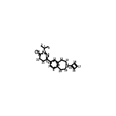 CC(C)N1N=C(c2ccc3c(c2)CCN(C2=CC=C2)CC3)CCC1=O